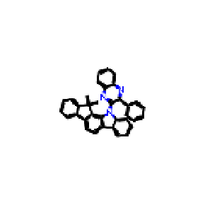 CC1(C)c2ccccc2-c2ccc3c4ccccc4n(-c4nc5ccccc5nc4-c4ccccc4)c3c21